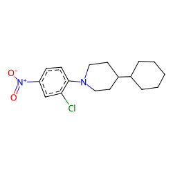 O=[N+]([O-])c1ccc(N2CCC(C3CCCCC3)CC2)c(Cl)c1